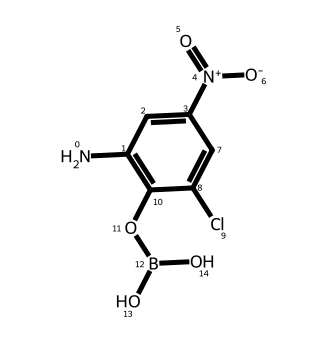 Nc1cc([N+](=O)[O-])cc(Cl)c1OB(O)O